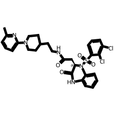 Cc1cccc(N2CCC(CCNC(=O)C[C@@H]3C(=O)Nc4ccccc4N3S(=O)(=O)c3cccc(Cl)c3Cl)CC2)n1